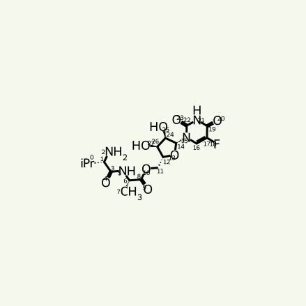 CC(C)[C@H](N)C(=O)N[C@@H](C)C(=O)OC[C@H]1O[C@@H](n2cc(F)c(=O)[nH]c2=O)[C@H](O)[C@@H]1O